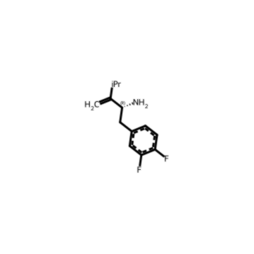 C=C(C(C)C)[C@H](N)Cc1ccc(F)c(F)c1